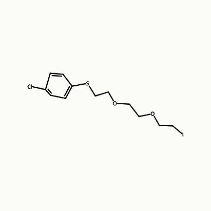 Clc1ccc(SCCOCCOCCI)cc1